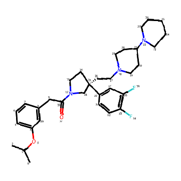 CC(C)Oc1cccc(CC(=O)N2CC[C@@](CCN3CCC(N4CCCCC4)CC3)(c3ccc(F)c(F)c3)C2)c1